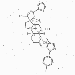 C[C@]12Cc3cnn(-c4ccc(F)cc4)c3C=C1CC[C@@H]1[C@@H]2[C@@H](O)C[C@@]2(C)[C@H]1CC[C@]2(OC(=O)c1ccco1)C(=O)S